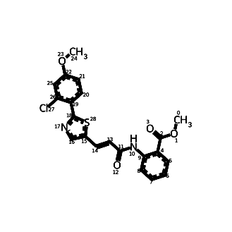 COC(=O)c1ccccc1NC(=O)/C=C/c1cnc(-c2ccc(OC)cc2Cl)s1